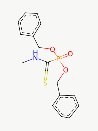 CNC(=S)P(=O)(OCc1ccccc1)OCc1ccccc1